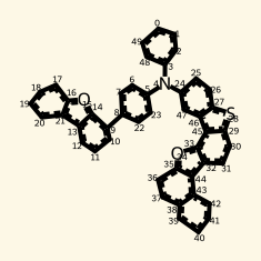 c1ccc(N(c2ccc(-c3cccc4c3oc3ccccc34)cc2)c2ccc3sc4ccc5c(oc6ccc7ccccc7c65)c4c3c2)cc1